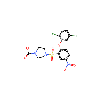 O=C(O)N1CCN(S(=O)(=O)c2cc([N+](=O)[O-])ccc2Oc2cc(Cl)ccc2Cl)CC1